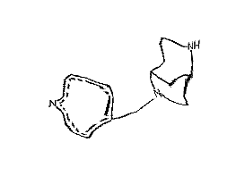 c1cc(CN2CC3CC2CN3)ccn1